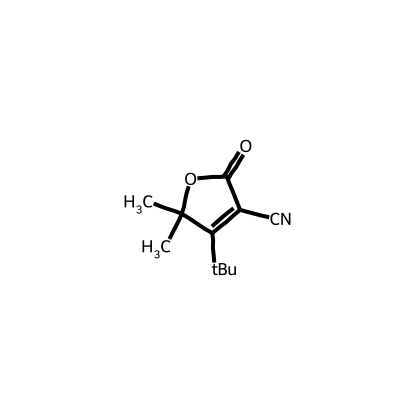 CC(C)(C)C1=C(C#N)C(=O)OC1(C)C